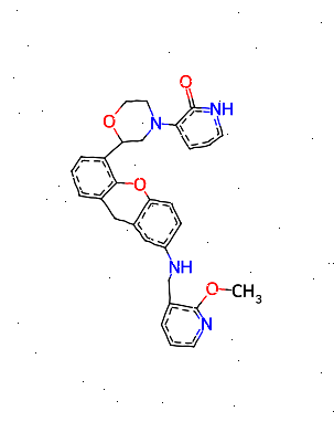 COc1ncccc1CNc1ccc2c(c1)Cc1cccc(C3CN(c4ccc[nH]c4=O)CCO3)c1O2